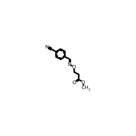 COC(=O)CCO/N=C/c1ccc(C#N)cc1